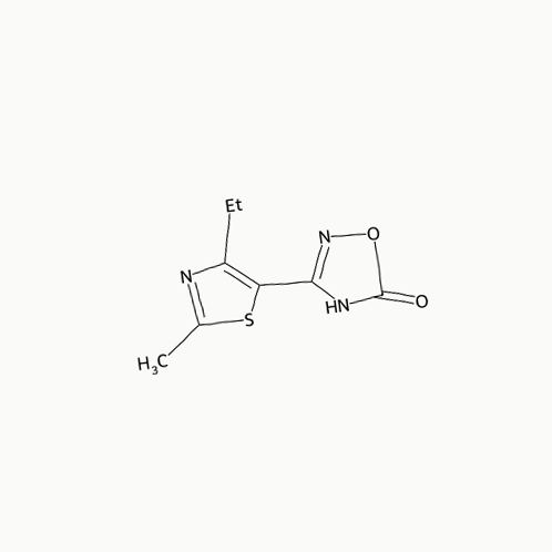 CCc1nc(C)sc1-c1noc(=O)[nH]1